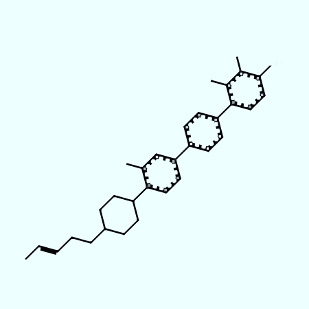 C/C=C/CCC1CCC(c2ccc(-c3ccc(-c4ccc(CCC)c(F)c4F)cc3)cc2F)CC1